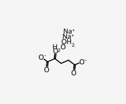 O.O.O=C([O-])CCC(=O)C(=O)[O-].[Na+].[Na+]